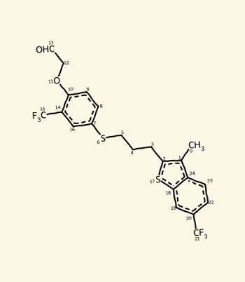 Cc1c(CCCSc2ccc(OCC=O)c(C(F)(F)F)c2)sc2cc(C(F)(F)F)ccc12